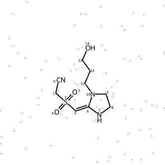 N#CCS(=O)(=O)C=C1NCCN1CCCO